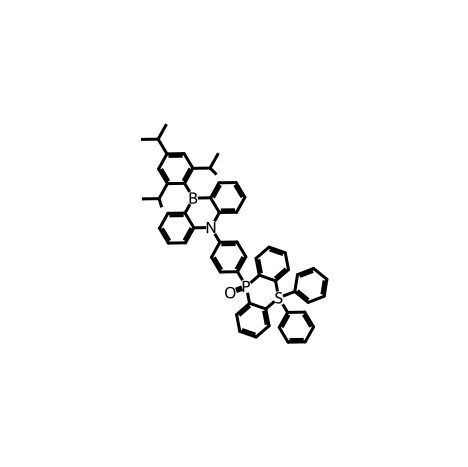 CC(C)c1cc(C(C)C)c(B2c3ccccc3N(c3ccc(P4(=O)c5ccccc5S(c5ccccc5)(c5ccccc5)c5ccccc54)cc3)c3ccccc32)c(C(C)C)c1